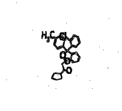 Cc1ccc(C(OC(=O)CC(=O)C2CCCC2)(c2ccccc2)c2ccccc2Cl)cc1